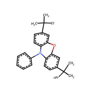 CCCC(C)(C)c1ccc2c(c1)Oc1cc(C(C)(C)CC)ccc1N2c1ccccc1